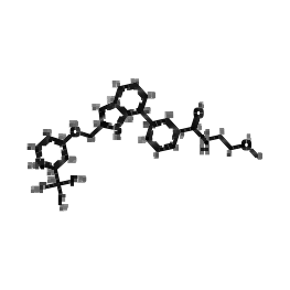 COCCNC(=O)c1cccc(-c2cccc3cc(COc4ccnc(C(F)(F)F)c4)sc23)c1